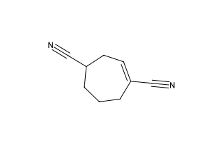 N#CC1=CCC(C#N)CCC1